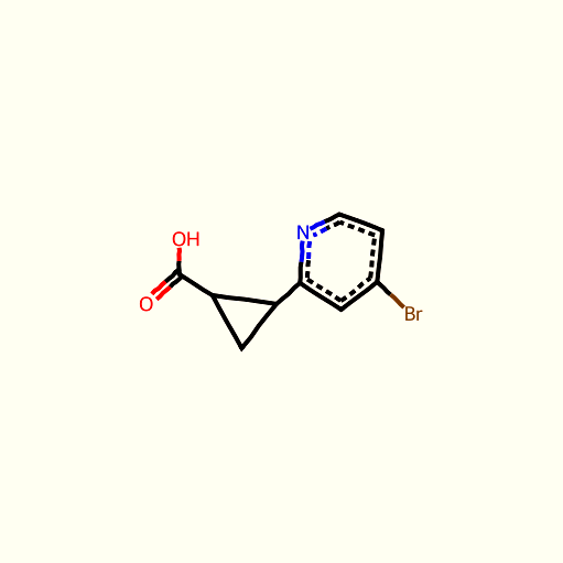 O=C(O)C1CC1c1cc(Br)ccn1